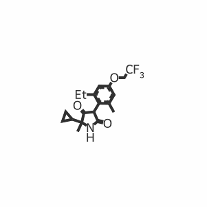 CCc1cc(OCC(F)(F)F)cc(C)c1C1C(=O)NC(C)(C2CC2)C1=O